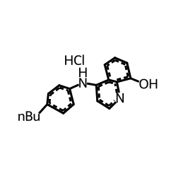 CCCCc1ccc(Nc2ccnc3c(O)cccc23)cc1.Cl